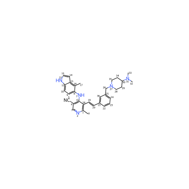 Cc1ncc(C#N)c(Nc2ccc3[nH]ccc3c2C)c1/C=C/c1cccc(CN2CCC(N(C)C)CC2)c1